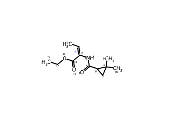 C/C=C(/NC(=O)C1CC1(C)C)C(=O)OCC